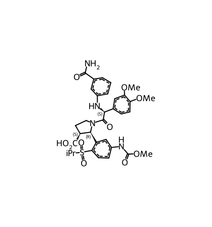 COC(=O)Nc1ccc(S(=O)(=O)C(C)C)c([C@H]2[C@@H](C(=O)O)CCN2C(=O)[C@@H](Nc2cccc(C(N)=O)c2)c2ccc(OC)c(OC)c2)c1